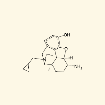 C[C@@]12CC[C@@H](N)[C@@H]3Oc4c(O)ccc5c4[C@@]31CCN(CC1CC1)C2C5